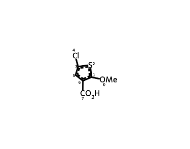 COc1sc(Cl)cc1C(=O)O